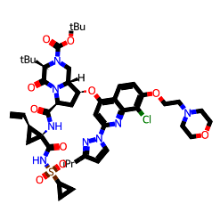 C=C[C@@H]1C[C@]1(NC(=O)[C@@H]1C[C@@H](Oc2cc(-n3ccc(C(C)C)n3)nc3c(Cl)c(OCCN4CCOCC4)ccc23)[C@H]2CN(C(=O)OC(C)(C)C)[C@H](C(C)(C)C)C(=O)N21)C(=O)NS(=O)(=O)C1CC1